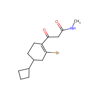 CNC(=O)CC(=O)C1=C(Br)CC(C2CCC2)CC1